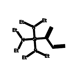 C=CC(=C)[Si](N(CC)CC)(N(CC)CC)N(CC)CC